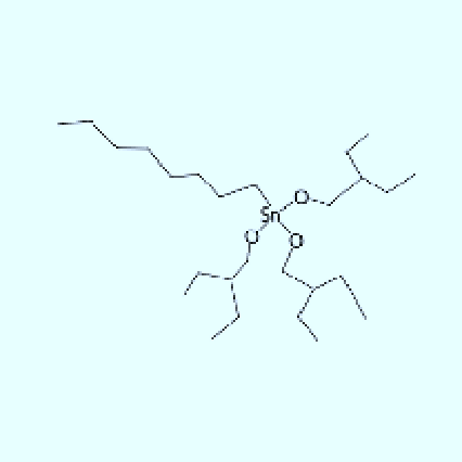 CCCCCCC[CH2][Sn]([O]CC(CC)CC)([O]CC(CC)CC)[O]CC(CC)CC